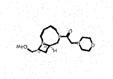 COC[C@@H]1C[C@@H]2CN(C(=O)CN3CCOCC3)CCCCN12